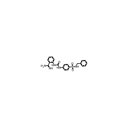 N=C(N)c1ccccc1NC(=O)Nc1ccc(S(=O)(=O)NCc2ccccc2)cc1